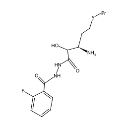 CC(C)SCC[C@@H](N)C(O)C(=O)NNC(=O)c1ccccc1F